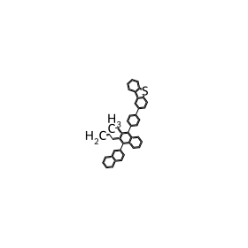 C=C/C=c1/c(-c2ccc3ccccc3c2)c2ccccc2c(-c2ccc(-c3ccc4sc5ccccc5c4c3)cc2)/c1=C/C